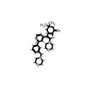 CC1(C)CC(=O)c2sc(N3CCOCC3)c(-c3ccnc(-c4cccc(CN5CCOCC5)c4)c3)c2C1